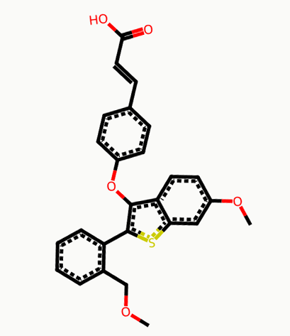 COCc1ccccc1-c1sc2cc(OC)ccc2c1Oc1ccc(C=CC(=O)O)cc1